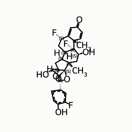 C[C@]12C=CC(=O)C=C1[C@@H](F)C[C@H]1[C@@H]3C[C@H]4O[C@@H](c5ccc(O)c(F)c5)O[C@@]4(C(=O)CO)[C@@]3(C)C[C@H](O)[C@@]12F